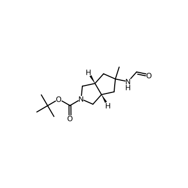 CC1(NC=O)C[C@H]2CN(C(=O)OC(C)(C)C)C[C@H]2C1